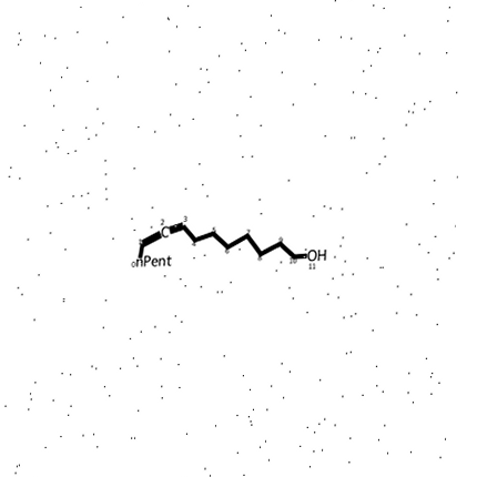 CCCCCC=C=CCCCCCCCO